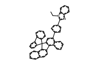 CCn1c(-c2ccc(-c3cc4c(c5ccccc35)-c3ccc5ccccc5c3C43c4ccccc4-c4ccccc43)cc2)nc2ccccc21